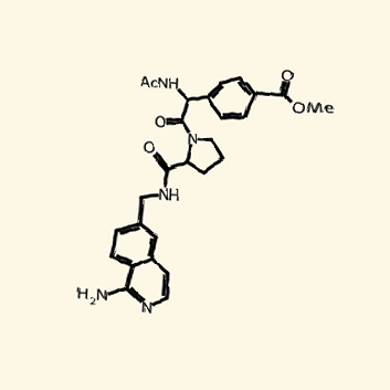 COC(=O)c1ccc(C(NC(C)=O)C(=O)N2CCCC2C(=O)NCc2ccc3c(N)nccc3c2)cc1